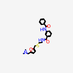 CN(C)Cc1ccc(CSCCNC(=O)c2cccc(NC(=O)c3ccccc3)c2)o1